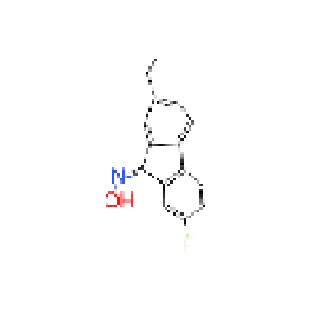 CCc1ccc2c(c1)/C(=N/O)c1cc(F)ccc1-2